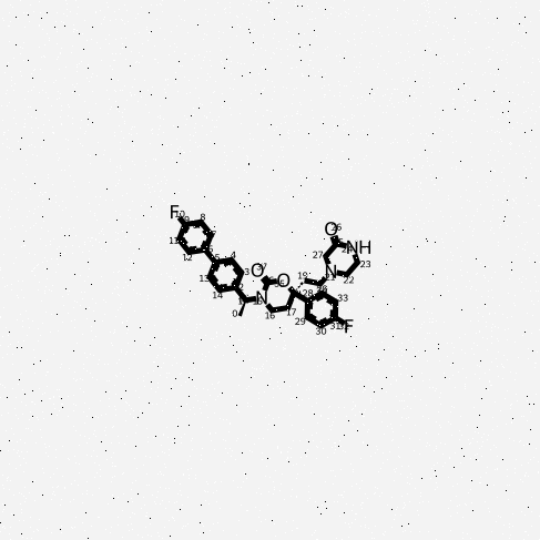 C[C@@H](c1ccc(-c2ccc(F)cc2)cc1)N1CC[C@](CCN2CCNC(=O)C2)(c2ccc(F)cc2)OC1=O